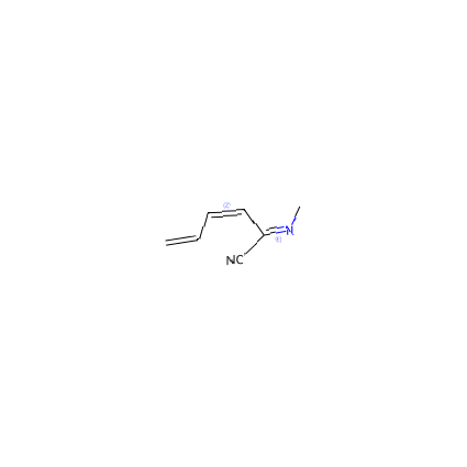 C=C/C=C\C(C#N)=N/C